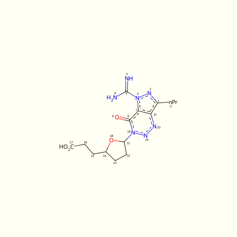 CCCc1nn(C(=N)N)c2c(=O)n(C3CCC(CCC(=O)O)O3)nnc12